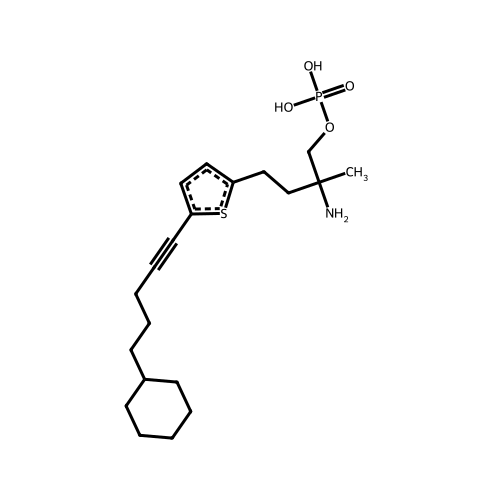 CC(N)(CCc1ccc(C#CCCCC2CCCCC2)s1)COP(=O)(O)O